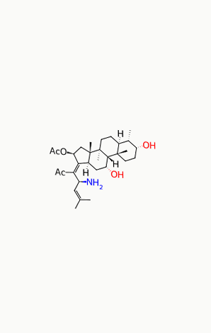 CC(=O)O[C@H]1C[C@@]2(C)[C@@H](C[C@@H](O)[C@H]3[C@@]4(C)CC[C@@H](O)[C@@H](C)[C@@H]4CC[C@@]32C)/C1=C(/C(C)=O)[C@@H](N)C=C(C)C